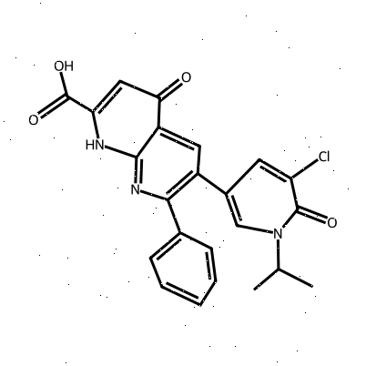 CC(C)n1cc(-c2cc3c(=O)cc(C(=O)O)[nH]c3nc2-c2ccccc2)cc(Cl)c1=O